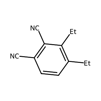 CCc1ccc(C#N)c(C#N)c1CC